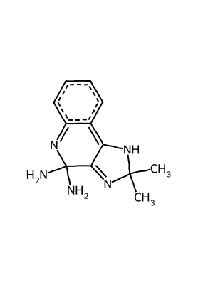 CC1(C)N=C2C(=c3ccccc3=NC2(N)N)N1